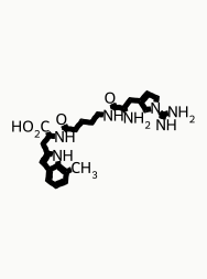 Cc1cccc2cc(CC(NC(=O)CCCCNC(=O)C(N)CC3=CCN(C(=N)N)C3)C(=O)O)[nH]c12